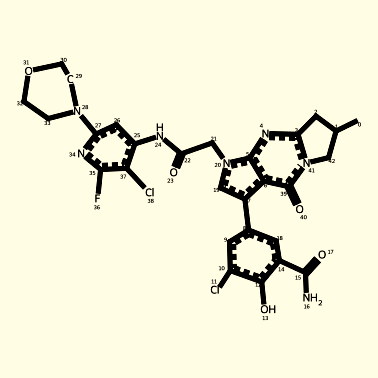 CC1Cc2nc3c(c(-c4cc(Cl)c(O)c(C(N)=O)c4)cn3CC(=O)Nc3cc(N4CCOCC4)nc(F)c3Cl)c(=O)n2C1